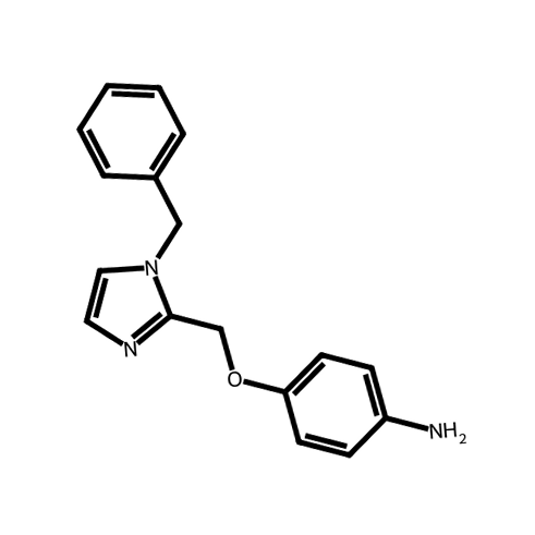 Nc1ccc(OCc2nccn2Cc2ccccc2)cc1